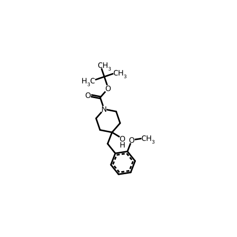 COc1ccccc1CC1(O)CCN(C(=O)OC(C)(C)C)CC1